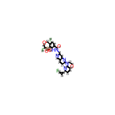 O=C(NCc1cc2nc(N3CCOc4ccc([C@@H]5C[C@H]5F)nc43)ccc2cn1)c1cc(F)c2c(c1)S(=O)(=O)[C@@H](F)COC2